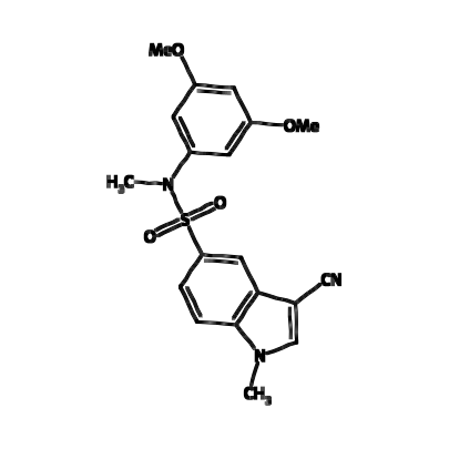 COc1cc(OC)cc(N(C)S(=O)(=O)c2ccc3c(c2)c(C#N)cn3C)c1